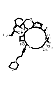 C=C1/C(=C\C(Cl)=C/C)CCC[C@]12COc1ccc3cc1N(C[C@@H]1CC[C@H]1[C@](O)(C#CCCN1CCOCC1)CCC[C@H](C)[C@@H](C)S(=O)(=O)NC3=O)C2